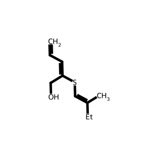 C=C/C=C(\CO)S/C=C(\C)CC